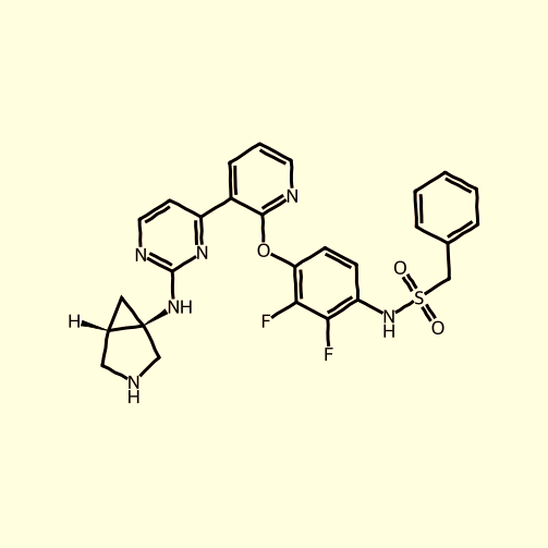 O=S(=O)(Cc1ccccc1)Nc1ccc(Oc2ncccc2-c2ccnc(N[C@@]34CNC[C@@H]3C4)n2)c(F)c1F